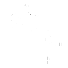 CC(C)(C)CN1Cc2c(cc(Cl)c3[nH]ncc23)C[C@@H](CC(=O)c2ccc3cc(O)c(C4CCNCC4)cc3c2)C1=O